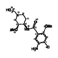 COc1cc(Cl)c(N)cc1C(=O)N[C@@H]1CCN(C(=O)O)C[C@@H]1OC